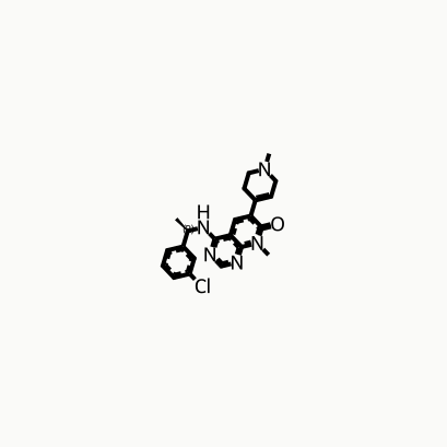 C[C@@H](Nc1ncnc2c1cc(C1=CCN(C)CC1)c(=O)n2C)c1cccc(Cl)c1